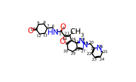 Cc1c(C(=O)NCC2CCC(=O)CC2)oc2c1-c1nn(Cc3ccccn3)cc1CC2